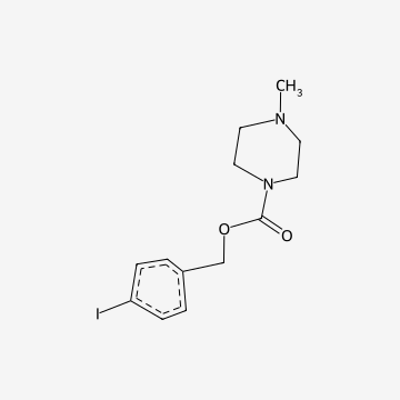 CN1CCN(C(=O)OCc2ccc(I)cc2)CC1